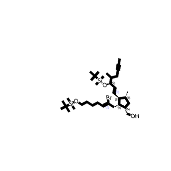 CC#CCC(C)[C@@H](/C=C/[C@@H]1[C@@H](C/C(Br)=C/CCCCO[Si](C)(C)C(C)(C)C)[C@@H](CO)C[C@H]1C)O[Si](C)(C)C(C)(C)C